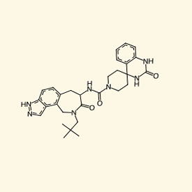 CC(C)(C)CN1Cc2c(ccc3[nH]ncc23)CC(NC(=O)N2CCC3(CC2)NC(=O)Nc2ccccc23)C1=O